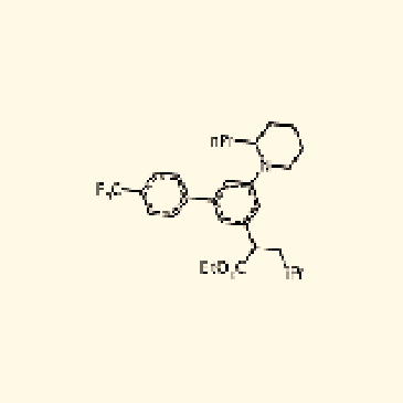 CCCC1CCCCN1c1cc(-c2ccc(C(F)(F)F)cc2)cc(C(CC(C)C)C(=O)OCC)c1